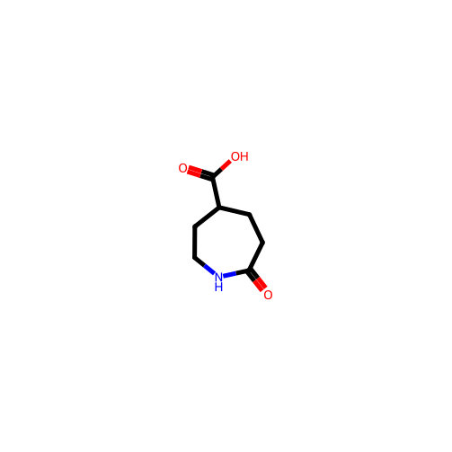 O=C1CCC(C(=O)O)CCN1